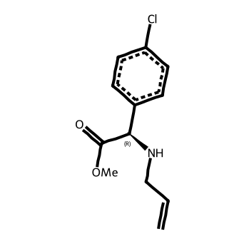 C=CCN[C@@H](C(=O)OC)c1ccc(Cl)cc1